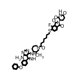 CC1CN(C(=O)CCCCCCSc2ccc3c(c2F)C(=O)N(C2CCC(=O)NC2=O)C3=O)CCC[C@H]1Nc1ncnc(N)c1C(=N)c1ccc(Oc2ccccc2)cc1